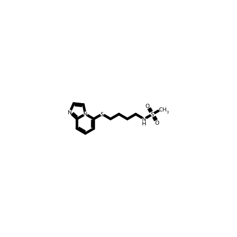 CS(=O)(=O)NCCCCSc1cccc2nccn12